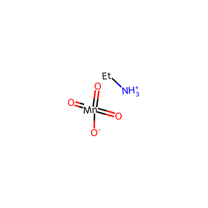 CC[NH3+].[O]=[Mn](=[O])(=[O])[O-]